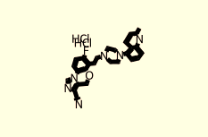 Cc1ccc2c(N3CCN(CCc4c(F)ccc5c4OCc4c(C#N)ncn4-5)CC3)cccc2n1.Cl.Cl